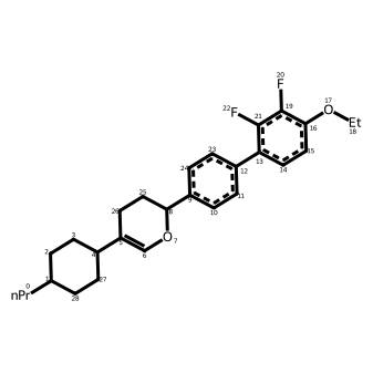 CCCC1CCC(C2=COC(c3ccc(-c4ccc(OCC)c(F)c4F)cc3)CC2)CC1